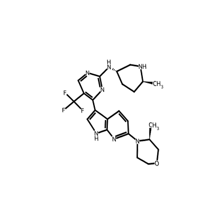 C[C@H]1CC[C@H](Nc2ncc(C(F)(F)F)c(-c3c[nH]c4nc(N5CCOC[C@@H]5C)ccc34)n2)CN1